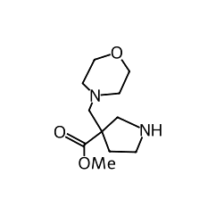 COC(=O)C1(CN2CCOCC2)CCNC1